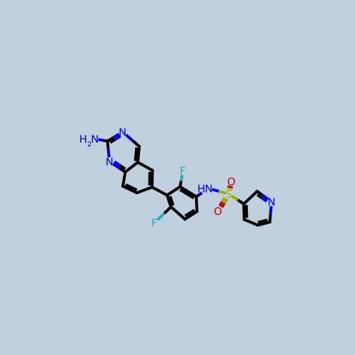 Nc1ncc2cc(-c3c(F)ccc(NS(=O)(=O)c4cccnc4)c3F)ccc2n1